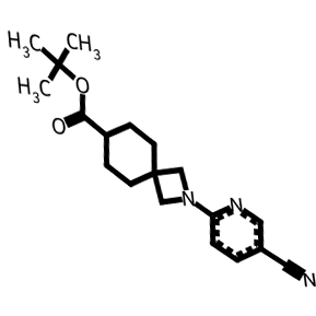 CC(C)(C)OC(=O)C1CCC2(CC1)CN(c1ccc(C#N)cn1)C2